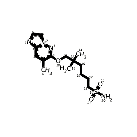 Cc1cc2nccn2nc1OCC(C)(C)CCCCS(N)(=O)=O